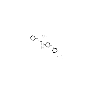 CO/C(=N\C(=O)Nc1ccc(Oc2ccc([N+](=O)[O-])c(Cl)c2)c(Cl)c1)c1ccccc1F